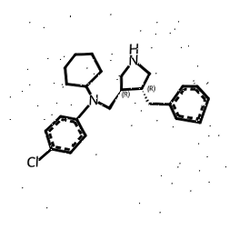 Clc1ccc(N(C[C@H]2CNC[C@@H]2Cc2ccccc2)C2CCCCC2)cc1